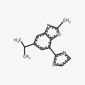 Cc1nc2cc(C(C)C)cc(-c3nccs3)c2o1